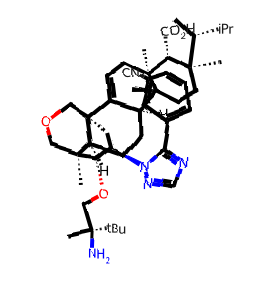 [C-]#[N+]c1cccc(-c2ncnn2[C@@H]2C[C@@]34COC[C@@](C)([C@@H]3CC[C@H]3C4=CC[C@@]4(C)[C@H](C(=O)O)[C@@](C)([C@H](C)C(C)C)CC[C@]34C)[C@H]2OC[C@](C)(N)C(C)(C)C)c1